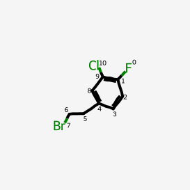 Fc1ccc(CCBr)cc1Cl